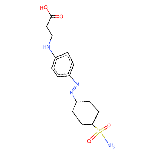 NS(=O)(=O)C1CCC(/N=N/c2ccc(NCCC(=O)O)cc2)CC1